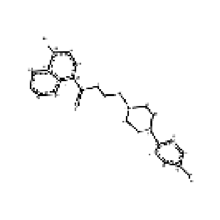 O=C(CCCN1CCN(c2ncc(F)cn2)CC1)c1ccc(F)c2ccccc12